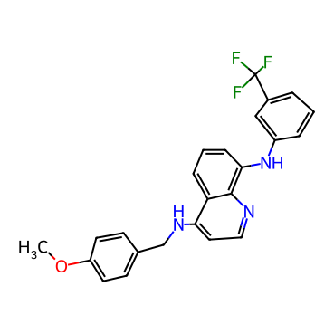 COc1ccc(CNc2ccnc3c(Nc4cccc(C(F)(F)F)c4)cccc23)cc1